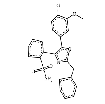 COc1cc(-c2oc(Cc3ccccc3)nc2-c2ccccc2S(N)(=O)=O)ccc1Cl